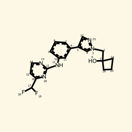 OC1(Cn2cc(-c3cccc(Nc4nccc(C(F)F)n4)c3)cn2)CCC1